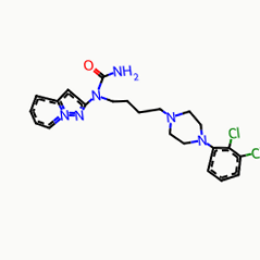 NC(=O)N(CCCCN1CCN(c2cccc(Cl)c2Cl)CC1)c1cc2ccccn2n1